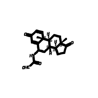 C[C@]12C=CC(=O)C=C1C(NC(=O)C=O)C[C@@H]1[C@@H]2CC[C@]2(C)C(=O)CC[C@@H]12